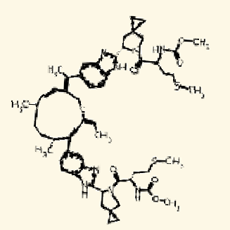 C/C=C1\C=C(\c2ccc3[nH]c([C@@H]4CC5(CC5)CN4C(=O)[C@H](CCSC)NC(=O)OC)nc3c2)[C@H](C)CC[C@@H](C)/C=C\C(=C(/C)c2ccc3[nH]c([C@@H]4CC5(CC5)CN4C(=O)[C@H](CCSC)NC(=O)OC)nc3c2)CC1